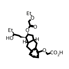 CCOCC(=O)O[C@@H]1C[C@@H]2Cc3c(cccc3OCC(=O)O)C[C@@H]2[C@H]1CC[C@@H](O)CC